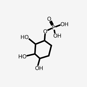 O=P(O)(O)OC1CCC(O)C(O)C1O